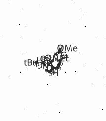 CC[C@@H]1C=C[C@H]2CCN(C(=O)OC(C)(C)C)[C@]2(O)C(=O)N1CC(=O)OC